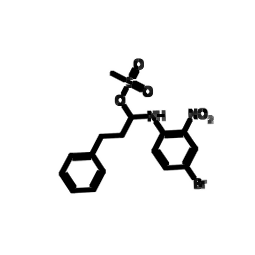 CS(=O)(=O)OC(CCc1ccccc1)Nc1ccc(Br)cc1[N+](=O)[O-]